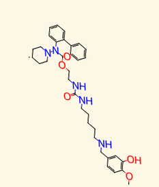 COc1ccc(CNCCCCCNC(=O)NCCOC(=O)N(c2ccccc2-c2ccccc2)N2CC[CH]CC2)cc1O